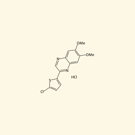 COc1cc2ncc(-c3ccc(Cl)s3)nc2cc1OC.Cl